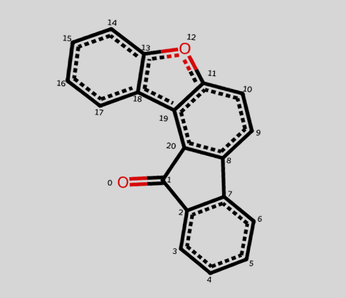 O=C1c2ccccc2-c2ccc3oc4ccccc4c3c21